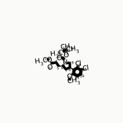 COC(=O)CC[C@@H]1C[C@H](c2c(OC)ccc(Cl)c2Cl)CN1C(=O)OC(C)(C)C